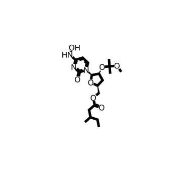 CCC(C)CC(=O)OC[C@@H]1C[C@@H](OC(C)(C)OC)[C@H](n2ccc(NO)nc2=O)O1